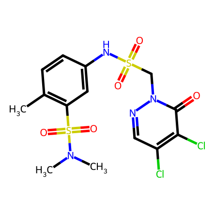 Cc1ccc(NS(=O)(=O)Cn2ncc(Cl)c(Cl)c2=O)cc1S(=O)(=O)N(C)C